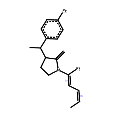 C=C1C(C(C)c2ccc(CC)cc2)CCN1/C(=C/C=C\C)CC